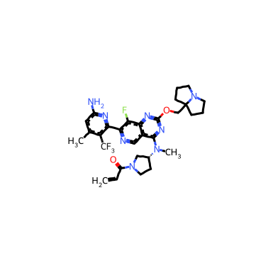 C=CC(=O)N1CC[C@@H](N(C)c2nc(OCC34CCCN3CCC4)nc3c(F)c(-c4nc(N)cc(C)c4C(F)(F)F)ncc23)C1